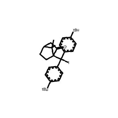 CC(C)(C)c1ccc(C(I)(c2ccc(C(C)(C)C)cc2)C23CCC(CC2=O)C3(C)C)cc1